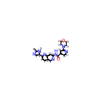 Cc1ncc(-c2ccc3cnc(NC(=O)c4ccnc(N5CCOCC5)c4)cc3n2)n1C